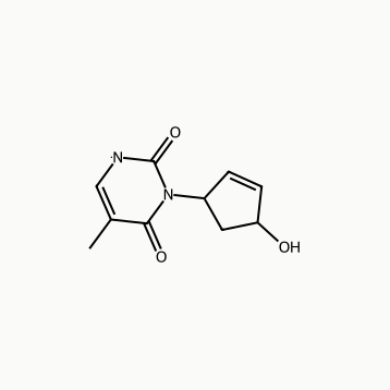 CC1=C[N]C(=O)N(C2C=CC(O)C2)C1=O